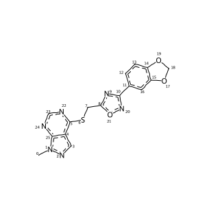 Cn1ncc2c(SCc3nc(-c4ccc5c(c4)OCO5)no3)ncnc21